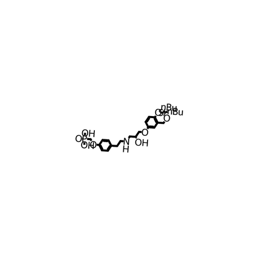 CCCC[Si]1(CCCC)OCc2cc(OC[C@@H](O)CNCCc3ccc(OCP(=O)(O)O)cc3)ccc2O1